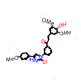 COc1ccc(-c2cn(-c3cccc(C(=O)C=Cc4cc(OC)c(O)c(OC)c4)c3)c(=O)[nH]2)cc1